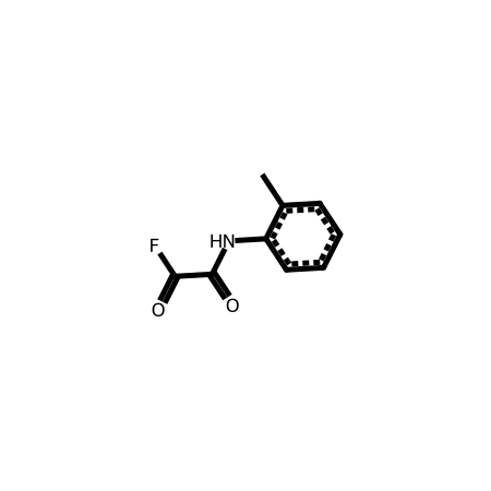 Cc1ccccc1NC(=O)C(=O)F